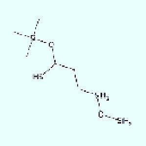 C[Si](C)(C)OC(S)CC[SiH2]O[SiH3]